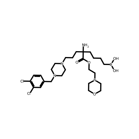 NC(CCCCB(O)O)(CCCN1CCN(Cc2ccc(Cl)c(Cl)c2)CC1)C(=O)OCCN1CCOCC1